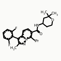 Cc1nn2c(C(C)C)c(C(=O)NC3CCOC(C)(C)C3)ccc2c1-c1c(F)cccc1F